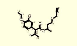 C#CCOCCC(C)OC(=O)C(c1ccc(OCC)c(Cl)c1)C(C)C